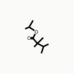 CC(C)OC(=O)C(C)(C)C(C)C